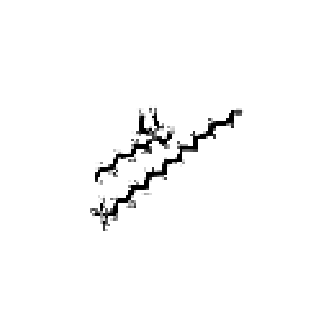 CCCCCCCCCCCCCCCC[N+](C)(C)C.CCCCCCC[N+](CC)(CC)CC